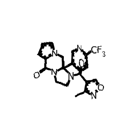 Cc1nocc1C(=O)N1CCN2C(=O)c3cccn3CC12c1ccc(C(F)(F)F)nc1